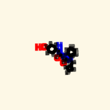 O=C(N[C@H]1CC[C@H](O)CC1)n1c(=O)n(CC2CCC2)c2ccccc21